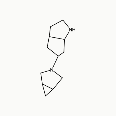 C1CC2CC(N3CC4CC4C3)CC2N1